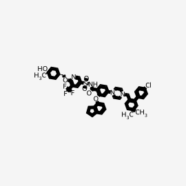 CC1(C)CCC(CN2CCN(c3ccc(C(=O)NS(=O)(=O)c4cnc(OC[C@H]5CC[C@](C)(O)CC5)c(C(F)(F)F)c4)c(Oc4cccc5c4CCC5)c3)CC2)=C(c2ccc(Cl)cc2)C1